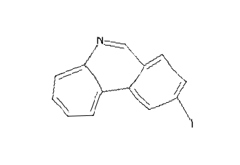 Ic1ccc2cnc3ccccc3c2c1